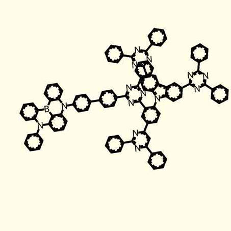 c1ccc(-c2cc(-c3ccc(-n4c5ccc(-c6nc(-c7ccccc7)nc(-c7ccccc7)n6)cc5c5cc(-c6nc(-c7ccccc7)nc(-c7ccccc7)n6)ccc54)c(-c4nc(-c5ccccc5)nc(-c5ccc(-c6ccc(N7c8ccccc8B8c9ccccc9N(c9ccccc9)c9cccc7c98)cc6)cc5)n4)c3)nc(-c3ccccc3)n2)cc1